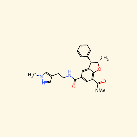 CNC(=O)c1cc(C(=O)NCCc2cnn(C)c2)cc2c1O[C@@H](C)[C@@H]2c1ccccc1